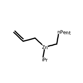 C=C[CH2][Zn]([CH2]CCCCC)[CH](C)C